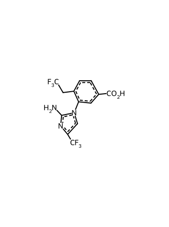 Nc1nc(C(F)(F)F)cn1-c1cc(C(=O)O)ccc1CC(F)(F)F